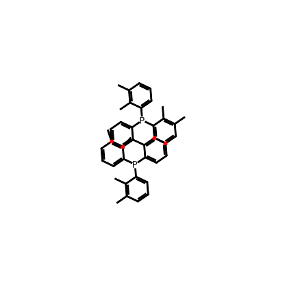 Cc1cccc(P(c2ccccc2-c2ccccc2P(c2cccc(C)c2C)c2cccc(C)c2C)c2cccc(C)c2C)c1C